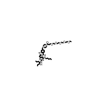 CCCCCNc1nc(NC(CCC)CCC)nc2ccn(Cc3ccc(CN4CCN(C(=O)CCOCCOCCOCCOCCOCC)CC4)cc3OC)c12